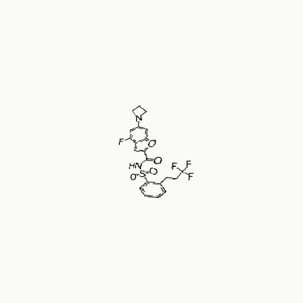 O=C(NS(=O)(=O)c1ccccc1/C=C/C(F)(F)F)c1cc2c(F)cc(N3CCC3)cc2o1